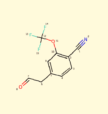 N#Cc1ccc(CC=O)cc1OC(F)(F)F